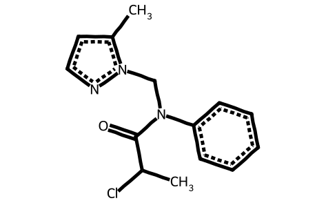 Cc1ccnn1CN(C(=O)C(C)Cl)c1ccccc1